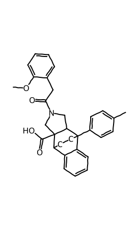 COc1ccccc1CC(=O)N1CC2C3(c4ccc(C)cc4)CCC(c4ccccc43)C2(C(=O)O)C1